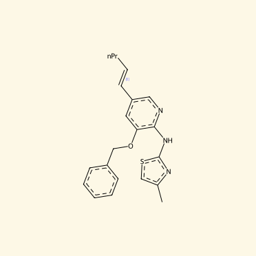 CCC/C=C/c1cnc(Nc2nc(C)cs2)c(OCc2ccccc2)c1